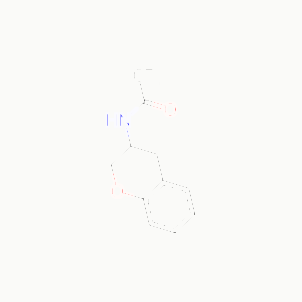 O=C(NC1COc2ccccc2C1)C(F)(F)F